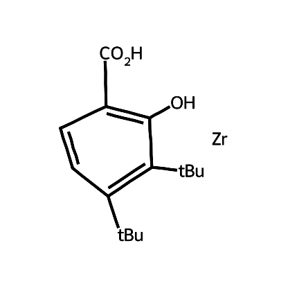 CC(C)(C)c1ccc(C(=O)O)c(O)c1C(C)(C)C.[Zr]